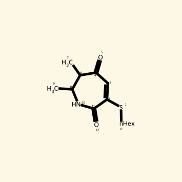 CCCCCCSC1=CC(=O)C(C)C(C)NC1=O